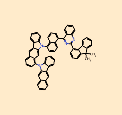 CC1(C)c2ccccc2-c2c(-c3nc(-c4cccc5c(-n6c7ccccc7c7cc8cccc(-n9c%10ccccc%10c%10cc%11ccccc%11cc%109)c8cc76)cccc45)c4ccccc4n3)cccc21